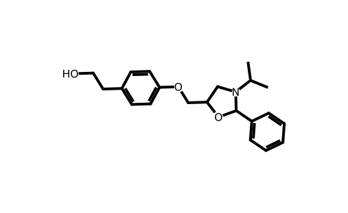 CC(C)N1CC(COc2ccc(CCO)cc2)OC1c1ccccc1